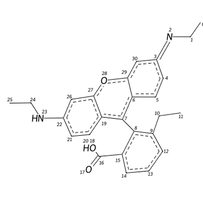 CCN=c1ccc2c(-c3c(CC)cccc3C(=O)O)c3ccc(NCC)cc3oc-2c1